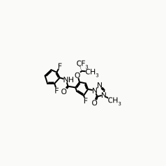 C[C@H](Oc1cc(-n2ncn(C)c2=O)c(F)cc1C(=O)Nc1c(F)cccc1F)C(F)(F)F